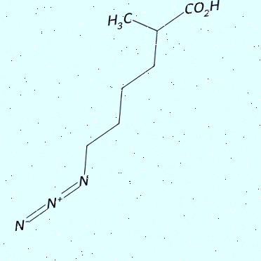 CC(CCCCN=[N+]=[N-])C(=O)O